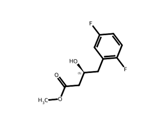 COC(=O)C[C@@H](O)Cc1cc(F)ccc1F